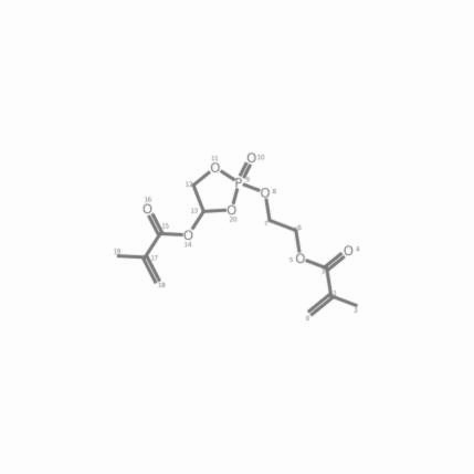 C=C(C)C(=O)O[CH]COP1(=O)OCC(OC(=O)C(=C)C)O1